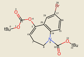 CC(C)(C)OC(=O)OC1=CCCN(C(=O)OC(C)(C)C)c2ccc(Br)cc21